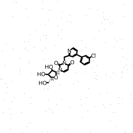 O=c1ccn([C@@H]2O[C@H](CO)C(O)C2O)c(=O)n1Cc1cc(-c2cccc(Cl)c2)ccn1